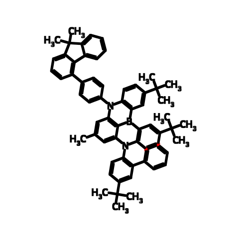 Cc1cc2c3c(c1)N(c1ccc(C(C)(C)C)cc1-c1ccccc1)c1ccc(C(C)(C)C)cc1B3c1cc(C(C)(C)C)ccc1N2c1ccc(-c2cccc3c2-c2ccccc2C3(C)C)cc1